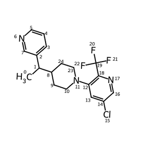 CC(c1cccnc1)C1CCN(c2cc(Cl)cnc2C(F)(F)F)CC1